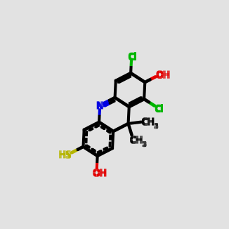 CC1(C)C2=C(Cl)C(O)C(Cl)=CC2=Nc2cc(S)c(O)cc21